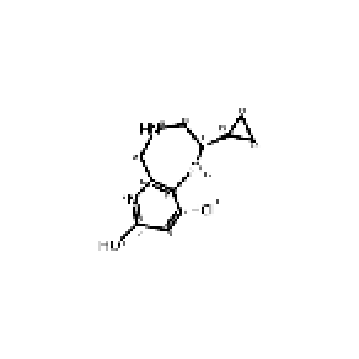 Cl.Oc1ccc2c(n1)CNC[C@@H](C1CC1)O2